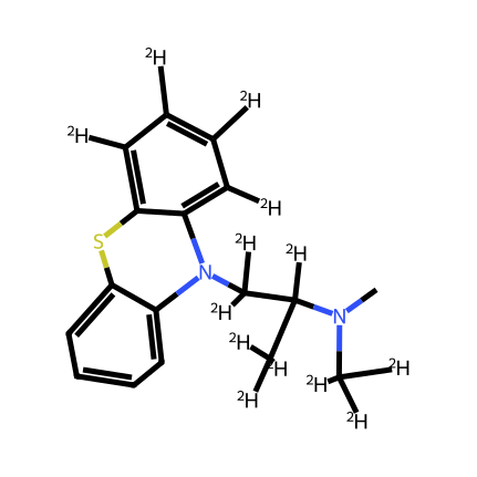 [2H]c1c([2H])c([2H])c2c(c1[2H])Sc1ccccc1N2C([2H])([2H])C([2H])(N(C)C([2H])([2H])[2H])C([2H])([2H])[2H]